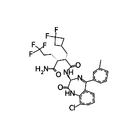 Cc1cccc(C2=N[C@H](NC(=O)[C@@H](CC3CC(F)(F)C3)[C@@H](CCC(F)(F)F)C(N)=O)C(=O)Nc3c(Cl)cccc32)c1